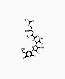 NC(=O)OCC(O)CC(N)C(=O)NC(C(=O)O)C1OC(n2cc(CO)c(=O)[nH]c2=O)C(O)C1O